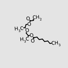 C=CC(=O)OCC(C)OCC(C)OC(=O)CCCCCCC